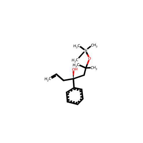 C=CC[C@](O)(CC(C)(C)O[Si](C)(C)C)c1ccccc1